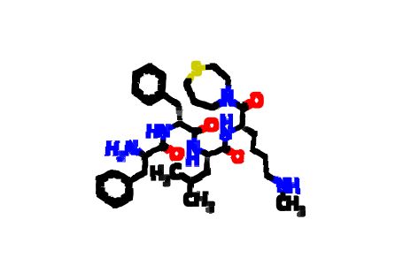 CNCCCC[C@@H](NC(=O)[C@@H](CC(C)C)NC(=O)[C@@H](Cc1ccccc1)NC(=O)[C@H](N)Cc1ccccc1)C(=O)N1CCCSCC1